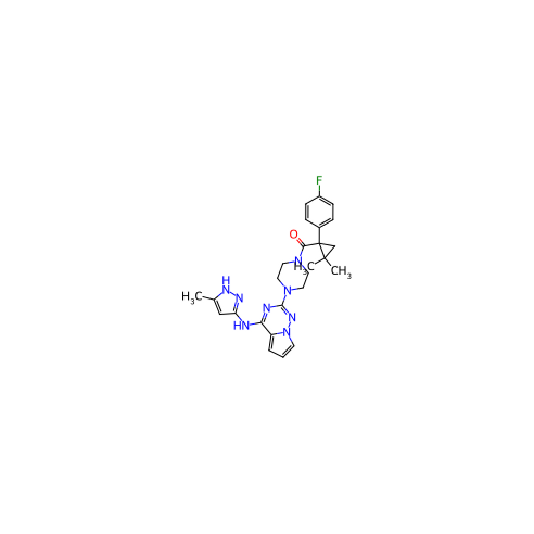 Cc1cc(Nc2nc(N3CCN(C(=O)C4(c5ccc(F)cc5)CC4(C)C)CC3)nn3cccc23)n[nH]1